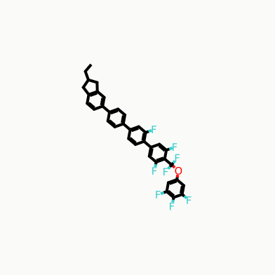 CCC1Cc2ccc(-c3ccc(-c4ccc(-c5cc(F)c(C(F)(F)Oc6cc(F)c(F)c(F)c6)c(F)c5)c(F)c4)cc3)cc2C1